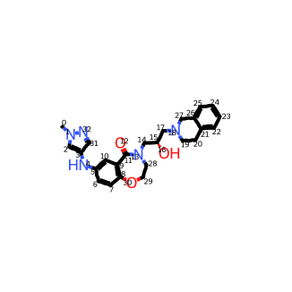 Cn1cc(Nc2ccc3c(c2)C(=O)N(C[C@H](O)CN2CCc4ccccc4C2)CCO3)cn1